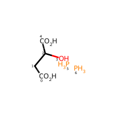 O=C(O)CC(O)C(=O)O.P.P